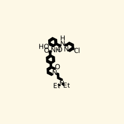 CCN(CC)CCCn1cccc(-c2ccc(C(=O)Nc3c(O)cccc3C(=O)Nc3ccc(Cl)cn3)cc2)c1=O